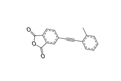 Cc1ccccc1C#Cc1ccc2c(c1)C(=O)OC2=O